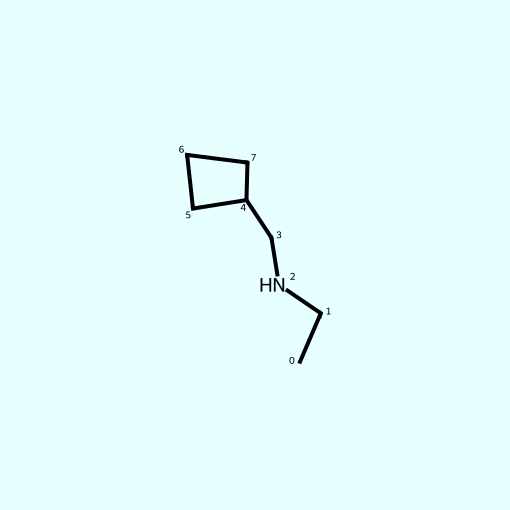 C[CH]NCC1CCC1